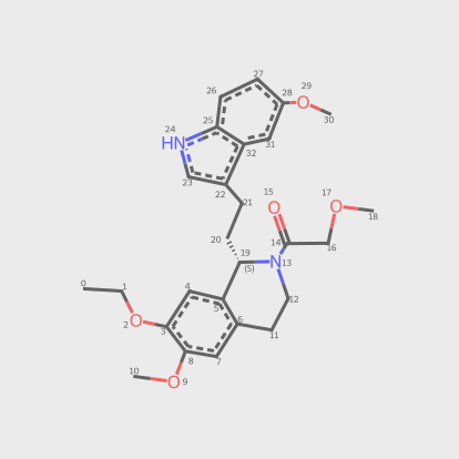 CCOc1cc2c(cc1OC)CCN(C(=O)COC)[C@H]2CCc1c[nH]c2ccc(OC)cc12